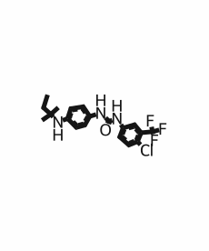 CCC(C)(C)Nc1ccc(NC(=O)Nc2ccc(Cl)c(C(F)(F)F)c2)cc1